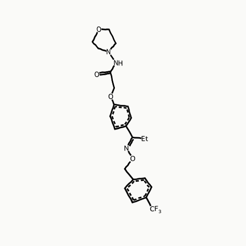 CC/C(=N\OCc1ccc(C(F)(F)F)cc1)c1ccc(OCC(=O)NN2CCOCC2)cc1